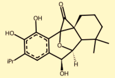 CC(C)c1cc2c(c(O)c1O)C13O[C@@H](C4C(C)(C)CCC[C@@]41C3=O)[C@H]2O